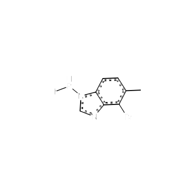 Cc1ccc2c(ncn2PI)c1Br